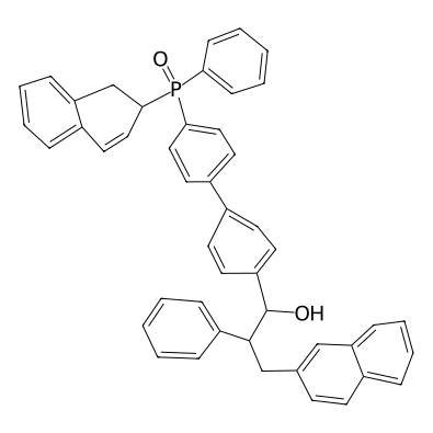 O=P(c1ccccc1)(c1ccc(-c2ccc(C(O)C(Cc3ccc4ccccc4c3)c3ccccc3)cc2)cc1)C1C=Cc2ccccc2C1